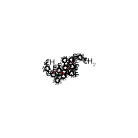 C=Cc1ccc(Oc2ccc(C3(c4c(F)cc(F)c(F)c4F)c4ccccc4-c4ccc(N(c5ccc(F)cc5)c5ccc6c(c5)C(c5ccc(Oc7ccc(C=C)cc7)cc5)(c5c(F)cc(F)c(F)c5F)c5ccccc5-6)cc43)cc2)cc1